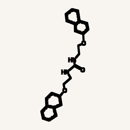 O=C(NCCOc1ccc2ccccc2c1)NCCOc1ccc2ccccc2c1